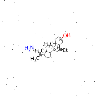 CC[C@@H](CC1CCCC2(C)C1CCC2[C@H](C)CCN)C1C[C@H](O)CCC1(C)C